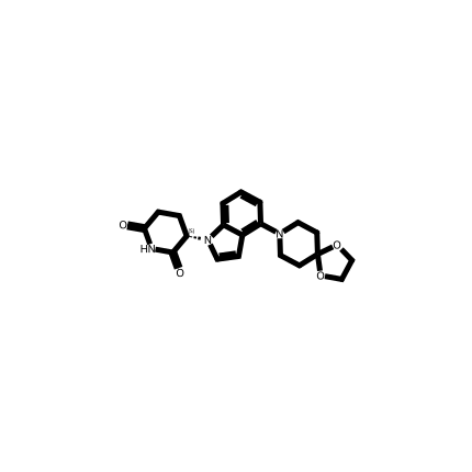 O=C1CC[C@H](n2ccc3c(N4CCC5(CC4)OCCO5)cccc32)C(=O)N1